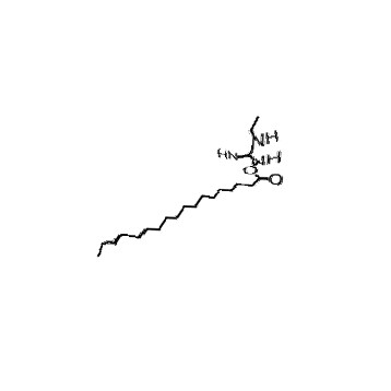 CCCCCCCCCCCCCCCCCC(=O)ONC(=N)NCC